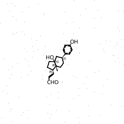 C[C@]12CC[C@H](c3ccc(O)cc3)C[C@@]1(O)CC[C@@H]2C=CC=O